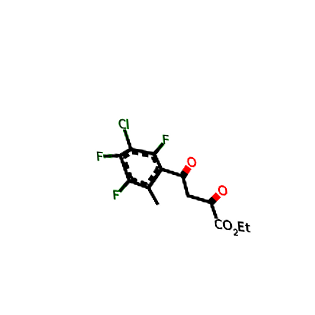 CCOC(=O)C(=O)CC(=O)c1c(C)c(F)c(F)c(Cl)c1F